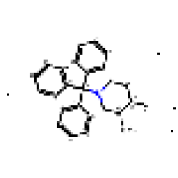 CN[C@H]1CN(C(c2ccccc2)(c2ccccc2)c2ccccc2)CC[C@H]1C